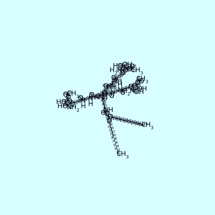 CCCCCCCCCCCCCCCCCCOC[C@H](COC(=O)NCCCCCC(=O)NC(COCCC(=O)NCCCNC(=O)CCCCOC1OC(COC(C)=O)C(O)C(O)C1N)(COCCC(=O)NCCCNC(=O)CCCCOC1OC(COC(C)=O)C(O)C(O)C1N)COCCC(=O)NCCCNC(=O)CCCCOC1OC(COC(C)=O)C(O)C(O)C1N)OCCCCCCCCCCCCCCCCCC